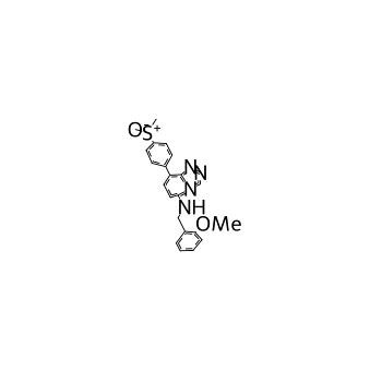 COc1ccccc1CNc1ccc(-c2ccc([S+](C)[O-])cc2)c2nncn12